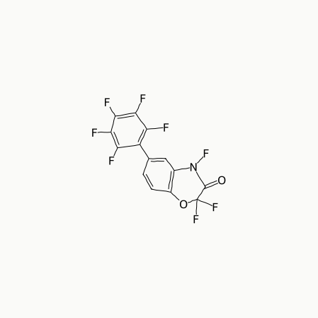 O=C1N(F)c2cc(-c3c(F)c(F)c(F)c(F)c3F)ccc2OC1(F)F